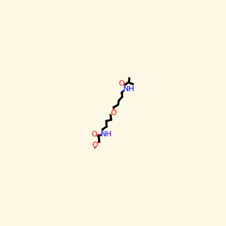 COCC(=O)NCCCCCOCCCCCNC(=O)C(C)C